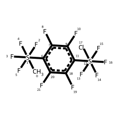 CS(F)(F)(F)(F)c1c(F)c(F)c(S(F)(F)(F)(F)Cl)c(F)c1F